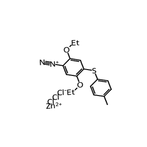 CCOc1cc(Sc2ccc(C)cc2)c(OCC)cc1[N+]#N.[Cl-].[Cl-].[Cl-].[Zn+2]